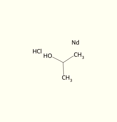 CC(C)O.Cl.[Nd]